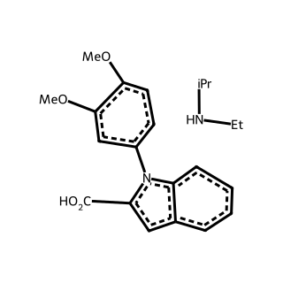 CCNC(C)C.COc1ccc(-n2c(C(=O)O)cc3ccccc32)cc1OC